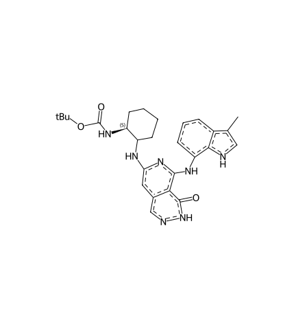 Cc1c[nH]c2c(Nc3nc(NC4CCCC[C@@H]4NC(=O)OC(C)(C)C)cc4cn[nH]c(=O)c34)cccc12